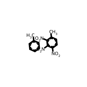 Cc1ccc([N+](=O)[O-])c([N+](=O)[O-])c1[N+](=O)[O-].Cc1ccccc1